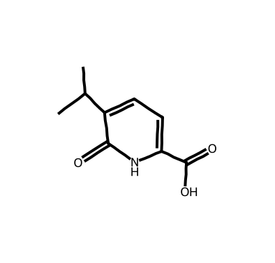 CC(C)c1ccc(C(=O)O)[nH]c1=O